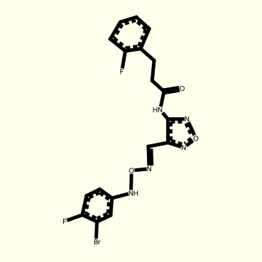 O=C(CCc1ccccc1F)Nc1nonc1/C=N/ONc1ccc(F)c(Br)c1